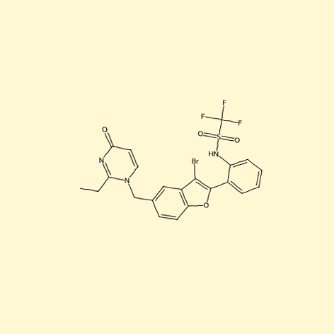 CCc1nc(=O)ccn1Cc1ccc2oc(-c3ccccc3NS(=O)(=O)C(F)(F)F)c(Br)c2c1